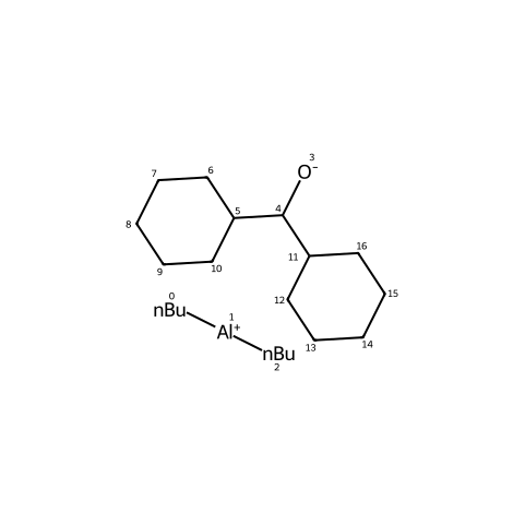 CCC[CH2][Al+][CH2]CCC.[O-]C(C1CCCCC1)C1CCCCC1